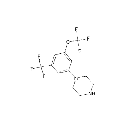 FC(F)(F)Oc1cc(N2CCNCC2)cc(C(F)(F)F)c1